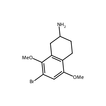 COc1cc(Br)c(OC)c2c1CCC(N)C2